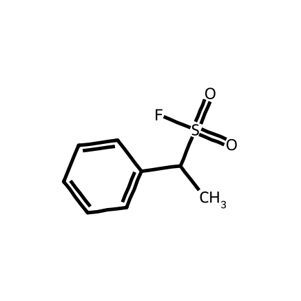 CC(c1ccccc1)S(=O)(=O)F